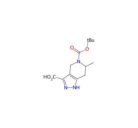 CC1Cc2[nH]nc(C(=O)O)c2CN1C(=O)OC(C)(C)C